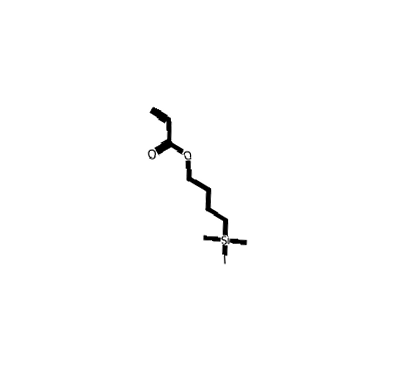 C=CC(=O)OCCCC[Si](C)(C)I